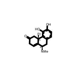 CC[C@]12CC(=O)CC=C1[C@H](NC)Cc1ccc(O)c(O)c12